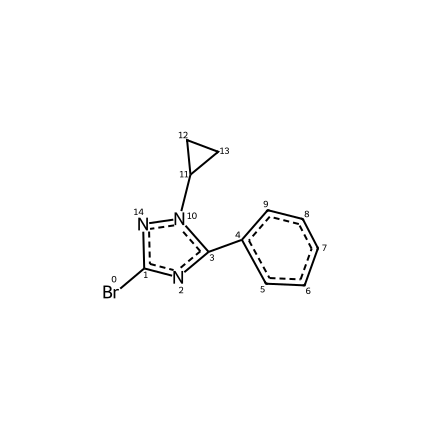 Brc1nc(-c2ccccc2)n(C2CC2)n1